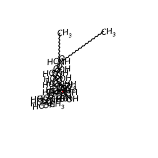 CCCCCCCCCCCCC/C=C/[C@@H](O)[C@H](CO[C@@H]1OC(CO)[C@@H](O[C@@H]2OC(CO)[C@H](O[C@@H]3OC(CO)[C@H](O)[C@H](O[C@@H]4OC(CO)[C@H](O[C@@H]5OC(CO)[C@H](O)[C@H](O[C@@H]6OC(CO)[C@H](O)[C@H](O)C6O)C5NC(C)=O)[C@H](O[C@]5(C(=O)O)CC(O)[C@@H](NC(=O)CO)C([C@H](O)[C@H](O)CO)O5)C4O)C3NC(C)=O)[C@H](O)C2O)[C@H](O)C1O)NC(=O)CCCCCCCCCCCCCCCCCCCCCCCCC